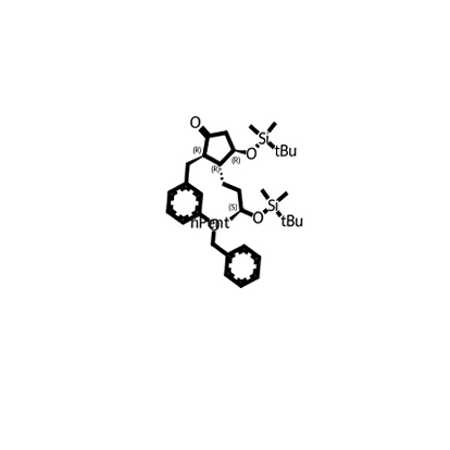 CCCCC[C@@H](CC[C@H]1[C@H](O[Si](C)(C)C(C)(C)C)CC(=O)[C@@H]1Cc1cccc(OCc2ccccc2)c1)O[Si](C)(C)C(C)(C)C